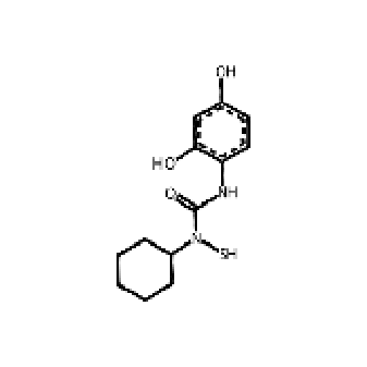 O=C(Nc1ccc(O)cc1O)N(S)C1CCCCC1